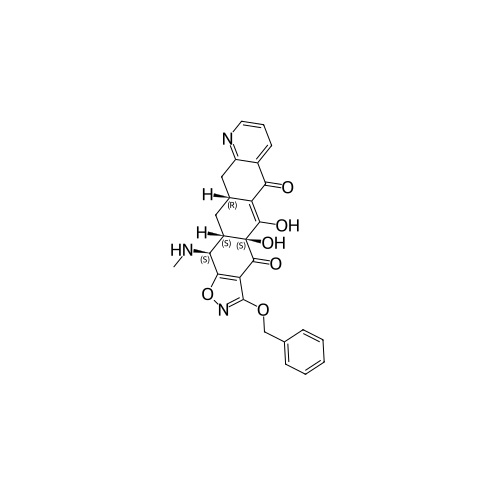 CN[C@@H]1c2onc(OCc3ccccc3)c2C(=O)[C@@]2(O)C(O)=C3C(=O)c4cccnc4C[C@H]3C[C@@H]12